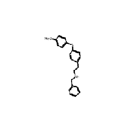 COc1ccc(Sc2ccc(CCNCc3ccccc3)cc2)cc1